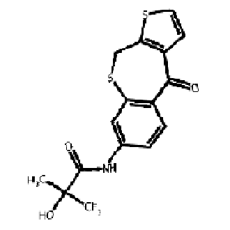 CC(O)(C(=O)Nc1ccc2c(c1)SCc1sccc1C2=O)C(F)(F)F